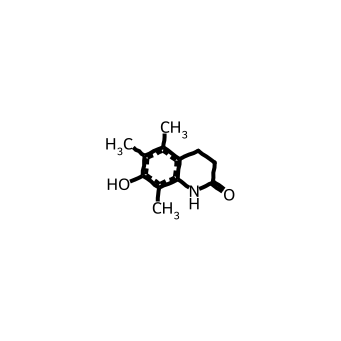 Cc1c(C)c2c(c(C)c1O)NC(=O)CC2